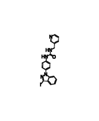 O=C(NCc1cccnc1)Nc1ccc(-n2nc(I)c3ccccc32)cc1